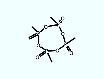 C=P1(C)OP(C)(=O)OP(C)(=O)OP(C)(=O)O1